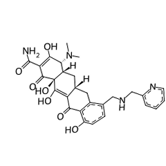 CN(C)[C@H]1C(O)=C(C(N)=O)C(=O)[C@@]2(O)C(O)=C3C(=O)c4c(O)ccc(CNCc5ccccn5)c4C[C@H]3C[C@@H]12